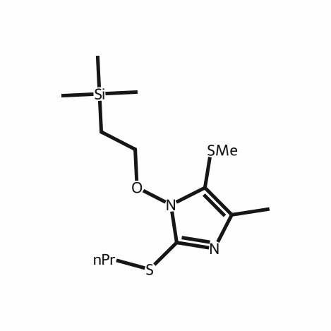 CCCSc1nc(C)c(SC)n1OCC[Si](C)(C)C